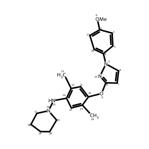 COc1ccc(-n2ccc(Oc3cc(C)c(NN4CCCCC4)cc3C)n2)cc1